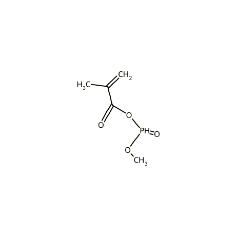 C=C(C)C(=O)O[PH](=O)OC